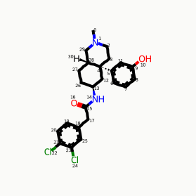 CN1CC[C@@]2(c3cccc(O)c3)C[C@@H](NC(=O)Cc3ccc(Cl)c(Cl)c3)CC[C@@H]2C1